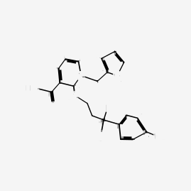 O=C(O)C1=CC=CN(Cc2ccco2)C1SCCC(F)(F)c1ccc(F)cc1